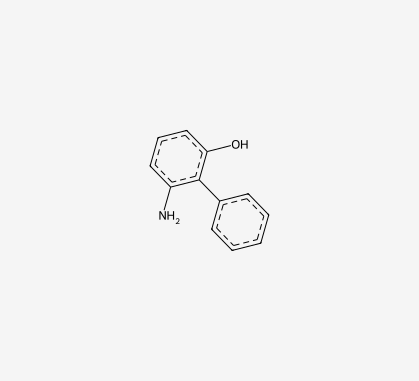 Nc1cccc(O)c1-c1ccccc1